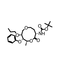 CCCO[C@H]1COCC[C@H](NC(=O)OC(C)(C)C)C(=O)O[C@@H](C)[C@@H]1Oc1ccccc1